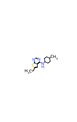 CCc1cc2c(NC3CCC(C)CC3)ncnc2s1